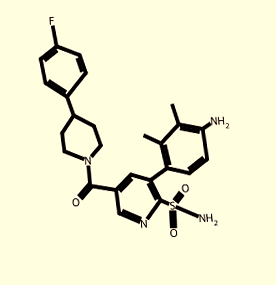 Cc1c(N)ccc(-c2cc(C(=O)N3CCC(c4ccc(F)cc4)CC3)cnc2S(N)(=O)=O)c1C